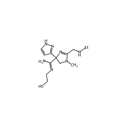 CCNCC1=NC(C(N)=NCCS)(c2cc[nH]n2)CN1C